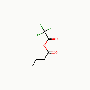 CC[CH]C(=O)OC(=O)C(F)(F)F